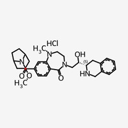 COC1CC2CCC(C1)N2C(=O)c1ccc2c(c1)N(C)CCN(CC(O)[C@@H]1Cc3ccccc3CN1)C2=O.Cl